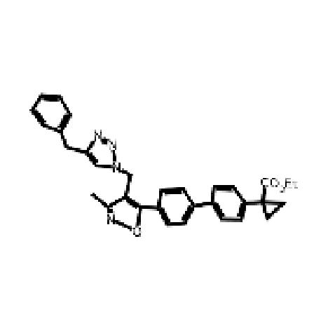 CCOC(=O)C1(c2ccc(-c3ccc(-c4onc(C)c4Cn4cc(Cc5ccccc5)nn4)cc3)cc2)CC1